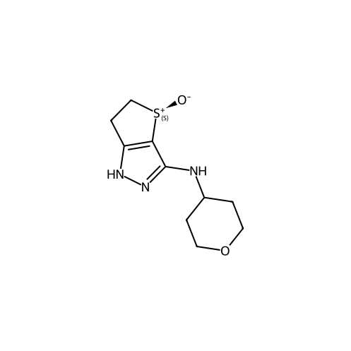 [O-][S@+]1CCc2[nH]nc(NC3CCOCC3)c21